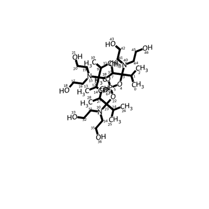 CC(C)C(OP(=O)(OC(C(C)C)(C(C)C)N(CCO)CCO)OC(C(C)C)(C(C)C)N(CCO)CCO)(C(C)C)N(CCO)CCO